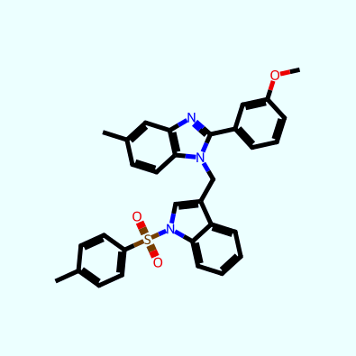 COc1cccc(-c2nc3cc(C)ccc3n2Cc2cn(S(=O)(=O)c3ccc(C)cc3)c3ccccc23)c1